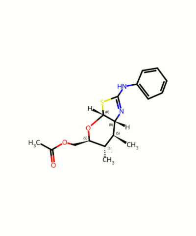 CC(=O)OC[C@H]1O[C@@H]2SC(Nc3ccccc3)=N[C@@H]2[C@@H](C)[C@@H]1C